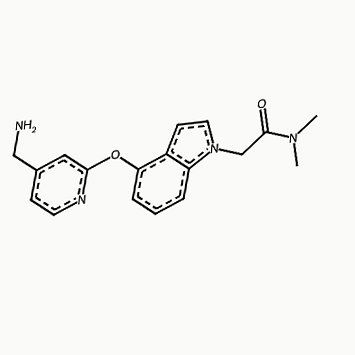 CN(C)C(=O)Cn1ccc2c(Oc3cc(CN)ccn3)cccc21